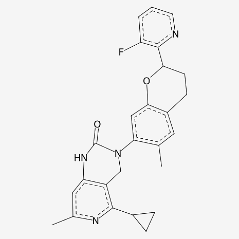 Cc1cc2c(c(C3CC3)n1)CN(c1cc3c(cc1C)CCC(c1ncccc1F)O3)C(=O)N2